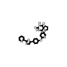 O=C1NC(=O)C2(CCCN2c2ccc(Oc3ccc(-c4cnc(-c5ccccn5)o4)cc3)nc2)C(=O)N1